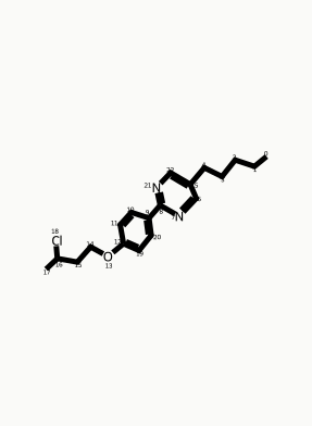 CCCCCc1cnc(-c2ccc(OCCC(C)Cl)cc2)nc1